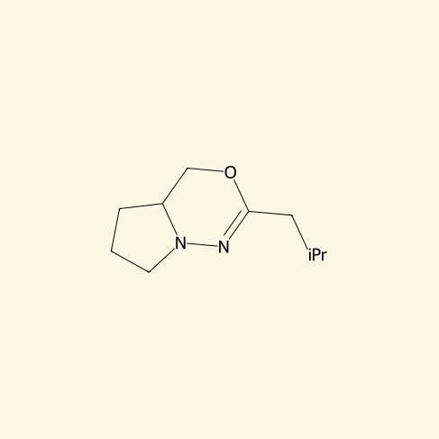 CC(C)CC1=NN2CCCC2CO1